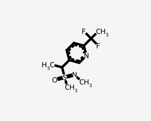 CN=S(C)(=O)C(C)c1ccc(C(C)(F)F)nc1